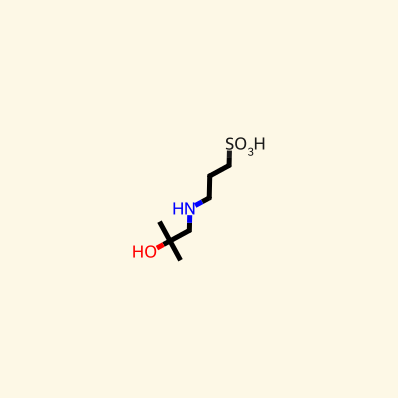 CC(C)(O)CNCCCS(=O)(=O)O